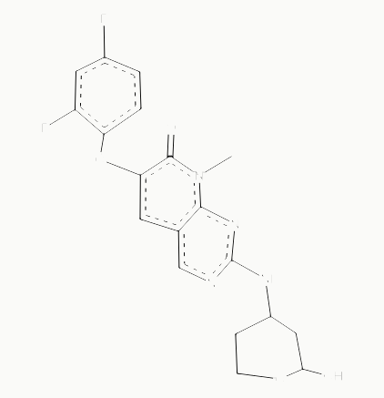 Cn1c(=O)c(Oc2ccc(F)cc2F)cc2cnc(NC3CCOC(O)C3)nc21